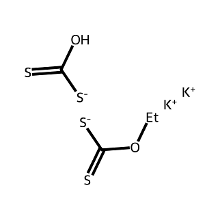 CCOC(=S)[S-].OC(=S)[S-].[K+].[K+]